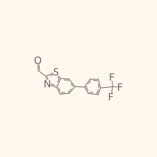 O=Cc1nc2ccc(-c3ccc(C(F)(F)F)cc3)cc2s1